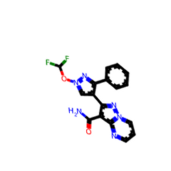 NC(=O)c1c(-c2cn(OC(F)F)nc2-c2ccccc2)nn2cccnc12